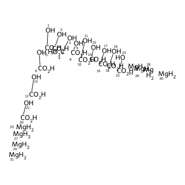 O=C(O)O.O=C(O)O.O=C(O)O.O=C(O)O.O=C(O)O.O=C(O)O.O=C(O)O.O=C(O)O.O=C(O)O.O=C(O)O.O=C(O)O.O=C(O)O.[MgH2].[MgH2].[MgH2].[MgH2].[MgH2].[MgH2].[MgH2].[MgH2]